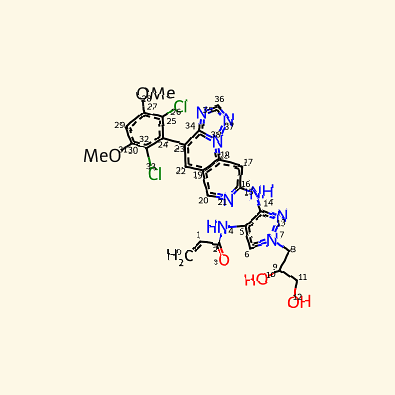 C=CC(=O)Nc1cn(CC(O)CO)nc1Nc1cc2c(cn1)cc(-c1c(Cl)c(OC)cc(OC)c1Cl)c1ncnn12